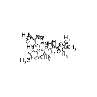 Cc1cc(C)cc(Nc2cc(N[C@@H]3CCCC[C@@H]3NC(=O)OC(C)(C)C)nnc2C(N)=O)c1